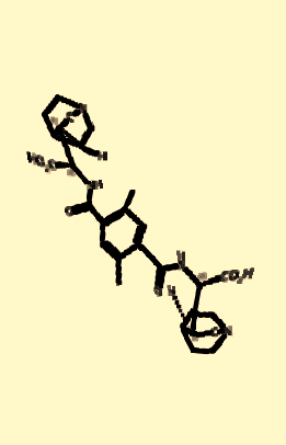 Cc1cc(C(=O)N[C@@H](C(=O)O)[C@H]2CN3CCC2CC3)c(C)cc1C(=O)N[C@@H](C(=O)O)[C@H]1CN2CCC1CC2